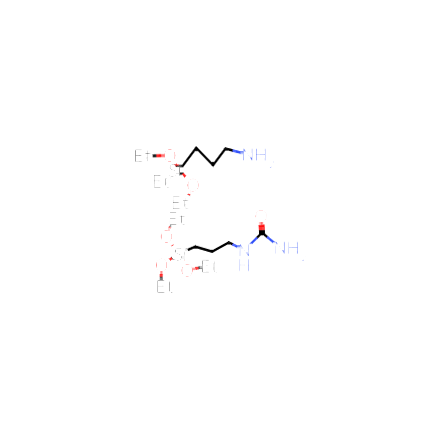 CCO[Si](CC)(CCCN)OCC.CCO[Si](CCCNC(N)=O)(OCC)OCC